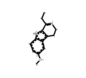 CCC1=NCCc2c1[nH]c1ccc(OC)cc21